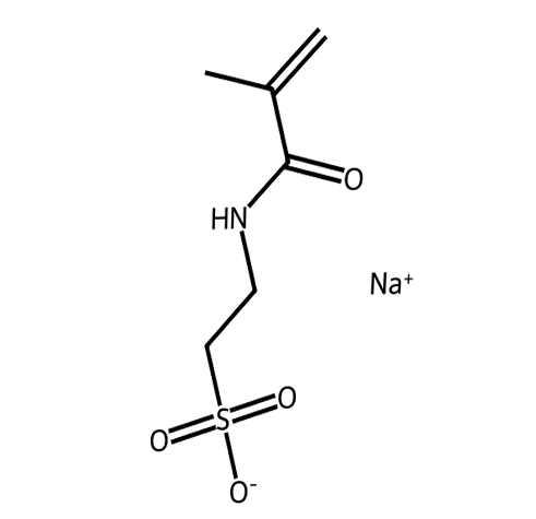 C=C(C)C(=O)NCCS(=O)(=O)[O-].[Na+]